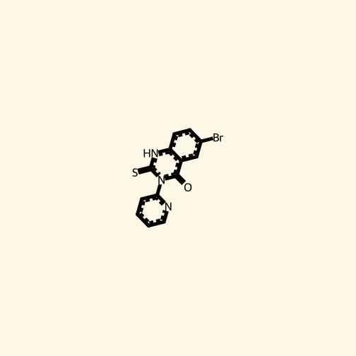 O=c1c2cc(Br)ccc2[nH]c(=S)n1-c1ccccn1